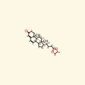 C[C@]12CCC(=O)C=C1C=CC1C2CC[C@@]2(C)C1CC[C@@H]2CCCC1OCCO1